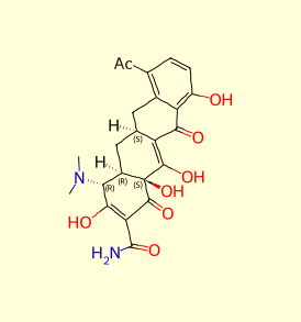 CC(=O)c1ccc(O)c2c1C[C@@H]1C[C@@H]3[C@@H](N(C)C)C(O)=C(C(N)=O)C(=O)[C@@]3(O)C(O)=C1C2=O